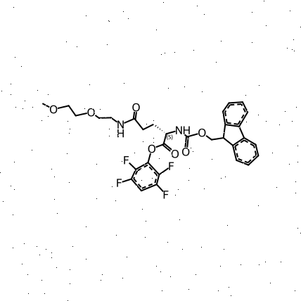 COCCOCCNC(=O)CC[C@H](NC(=O)OCC1c2ccccc2-c2ccccc21)C(=O)Oc1c(F)c(F)cc(F)c1F